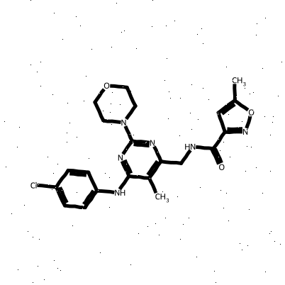 Cc1cc(C(=O)NCc2nc(N3CCOCC3)nc(Nc3ccc(Cl)cc3)c2C)no1